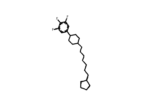 Fc1cc(C2CCC(CCCCCCCC3CCCC3)CC2)cc(F)c1F